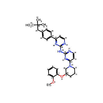 CCOc1ccccc1O[C@@H]1CCCN(c2ccnc(Nc3nccc(-c4ccc(CC(C)(C)C(=O)O)cc4)n3)n2)C1